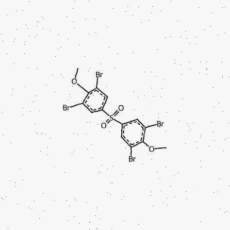 COc1c(Br)cc(S(=O)(=O)c2cc(Br)c(OC)c(Br)c2)cc1Br